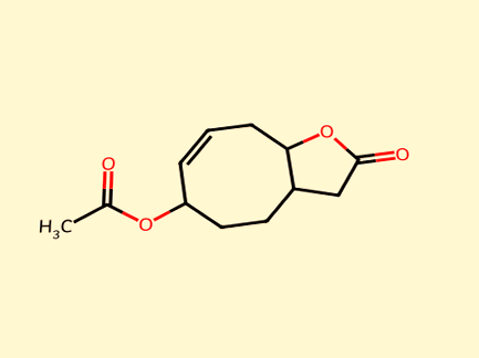 CC(=O)OC1/C=C\CC2OC(=O)CC2CC1